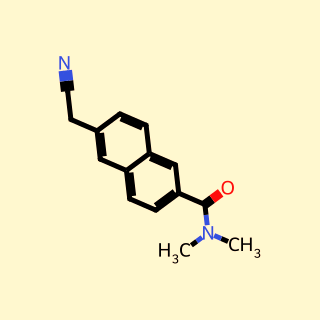 CN(C)C(=O)c1ccc2cc(CC#N)ccc2c1